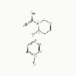 O=C(O)N1CCCCC1Sc1ccc(F)cc1